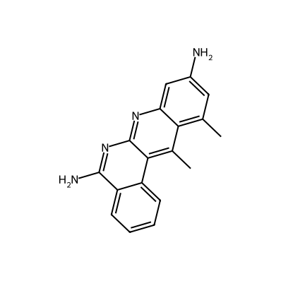 Cc1cc(N)cc2nc3nc(N)c4ccccc4c3c(C)c12